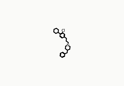 Clc1cc(CCCN2CCC(Cc3ccccc3)CC2)ccc1C1CCCCC1